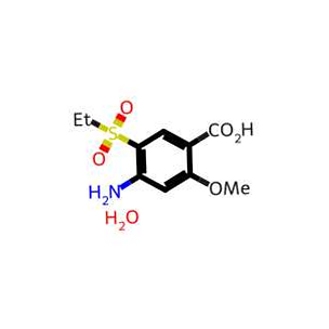 CCS(=O)(=O)c1cc(C(=O)O)c(OC)cc1N.O